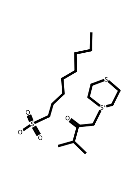 CC(C)C(=O)C[S+]1CCSCC1.CCCCCCCCS(=O)(=O)[O-]